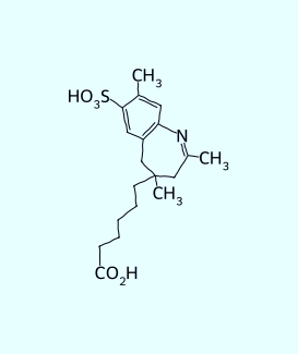 CC1=Nc2cc(C)c(S(=O)(=O)O)cc2CC(C)(CCCCCC(=O)O)C1